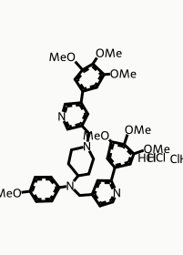 COc1ccc(N(Cc2ccnc(-c3cc(OC)c(OC)c(OC)c3)c2)C2CCN(Cc3cncc(-c4cc(OC)c(OC)c(OC)c4)c3)CC2)cc1.Cl.Cl.Cl